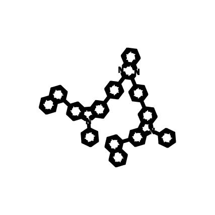 c1ccc(-n2c3ccc(-c4ccc(-c5nc6ccccc6nc5-c5ccc(-c6ccc7c(c6)c6cc(-c8cccc9ccccc89)ccc6n7-c6ccccc6)cc5)cc4)cc3c3cc(-c4cccc5ccccc45)ccc32)cc1